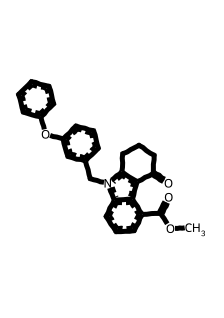 COC(=O)c1cccc2c1c1c(n2Cc2cccc(Oc3ccccc3)c2)CCCC1=O